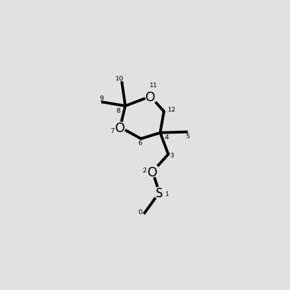 CSOCC1(C)COC(C)(C)OC1